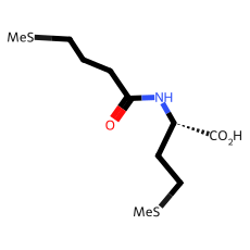 CSCCCC(=O)N[C@@H](CCSC)C(=O)O